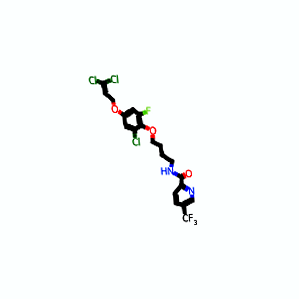 O=C(NCCCCOc1c(F)cc(OCC=C(Cl)Cl)cc1Cl)c1ccc(C(F)(F)F)cn1